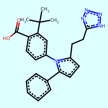 CC(C)(C)c1cc(-n2c(CCc3nnn[nH]3)ccc2-c2ccccc2)ccc1C(=O)O